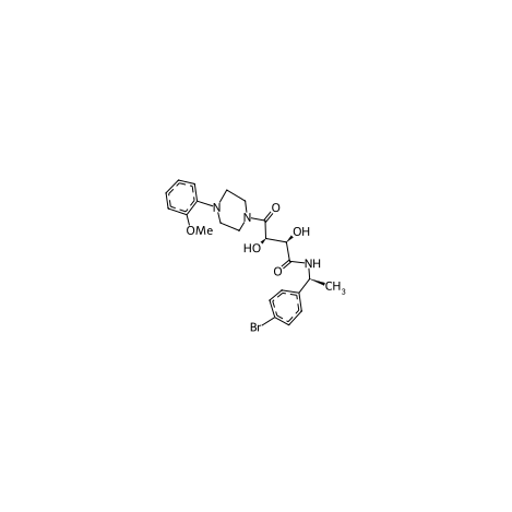 COc1ccccc1N1CCN(C(=O)[C@H](O)[C@@H](O)C(=O)N[C@@H](C)c2ccc(Br)cc2)CC1